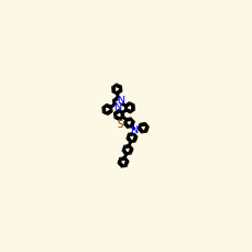 c1ccc(-c2ccc(-c3ccc(N(c4ccccc4)c4ccc5c(c4)sc4cccc(-c6ccccc6-c6nc(-c7ccccc7)cc(-c7ccccc7)n6)c45)cc3)cc2)cc1